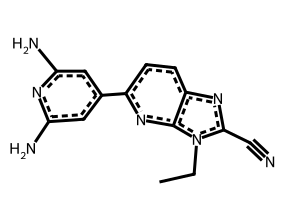 CCn1c(C#N)nc2ccc(-c3cc(N)nc(N)c3)nc21